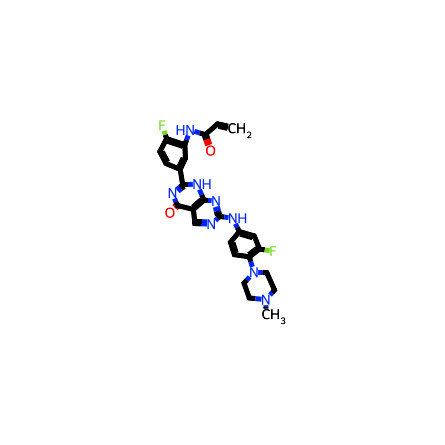 C=CC(=O)Nc1cc(-c2nc(=O)c3cnc(Nc4ccc(N5CCN(C)CC5)c(F)c4)nc3[nH]2)ccc1F